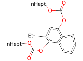 CCCCCCCOC(=O)Oc1cc(CC)c(OC(=O)OCCCCCCC)c2ccccc12